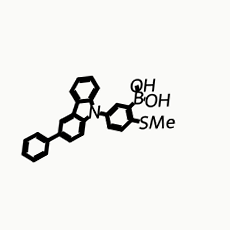 CSc1ccc(-n2c3ccccc3c3cc(-c4ccccc4)ccc32)cc1B(O)O